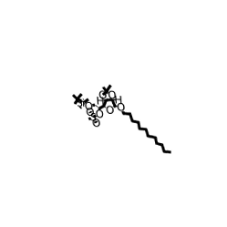 CCCCCCCCCCCCO[C@H]1O[C@H]([C@@H](CO[Si](C)(C)C(C)(C)C)OS(C)(=O)=O)[C@@H]2OC(C)(C)O[C@H]12